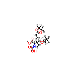 COC(=O)C1N(C(=O)O)CCC1(CCCB1OC(C)(C)C(C)(C)O1)CO[Si](C)(C)C(C)(C)C